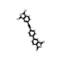 O=C1OC(=O)c2cc(C#Cc3ccc(-c4ccc5c(c4)C(=O)OC5=O)cc3)ccc21